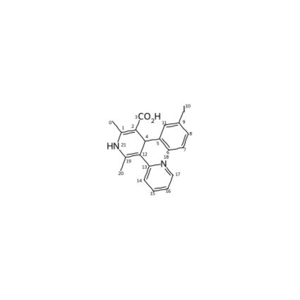 CC1=C(C(=O)O)C(c2cccc(I)c2)C(c2ccccn2)=C(C)N1